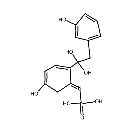 O=P(O)(O)N=C1CC(O)=CC=C1C(O)(O)Cc1cccc(O)c1